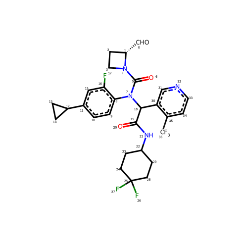 O=C[C@H]1CCN1C(=O)N(c1ccc(C2CC2)cc1F)C(C(=O)NC1CCC(F)(F)CC1)c1cnccc1C(F)(F)F